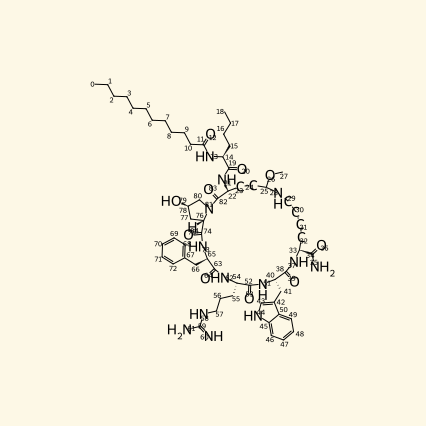 CCCCCCCCCCCC(=O)N[C@@H](CCCC)C(=O)N[C@H]1CCC(OC)NCCCC[C@@H](C(N)=O)NC(=O)[C@H](Cc2c[nH]c3ccccc23)NC(=O)[C@H](CCCNC(=N)N)NC(=O)[C@@H](Cc2ccccc2)NC(=O)[C@@H]2C[C@@H](O)CN2C1=O